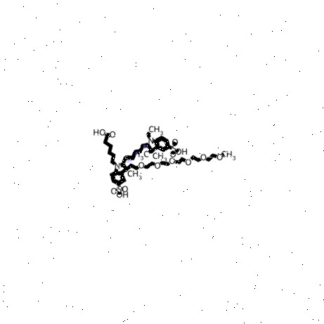 CCN1/C(=C/C=C/C=C/C2=[N+](CCCCCC(=O)O)c3ccc(S(=O)(=O)O)cc3C2(C)CCOCCOCCOCCOCCOCCOC)C(C)(C)c2cc(S(=O)(=O)O)ccc21